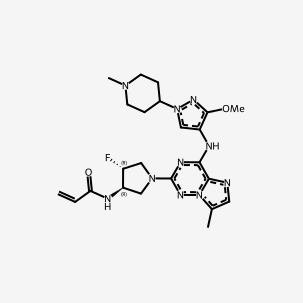 C=CC(=O)N[C@@H]1CN(c2nc(Nc3cn(C4CCN(C)CC4)nc3OC)c3ncc(C)n3n2)C[C@H]1F